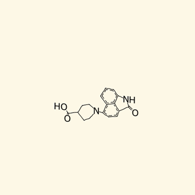 O=C1Nc2cccc3c(N4CCC(C(=O)O)CC4)ccc1c23